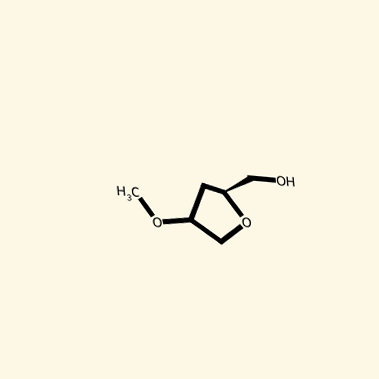 COC1CO[C@H](CO)C1